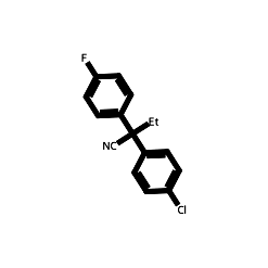 CCC(C#N)(c1ccc(F)cc1)c1ccc(Cl)cc1